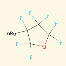 CCCCC1(F)C(F)(F)OC(F)(F)C1(F)F